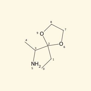 CCC1(C(C)N)OCCO1